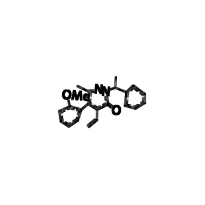 C=Cc1c(-c2ccccc2OC)c(C)nn(C(C)c2ccccc2)c1=O